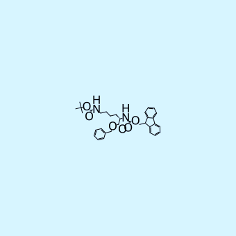 CC(C)(C)OC(=O)NCCCC[C@@H](NC(=O)OCC1c2ccccc2-c2ccccc21)C(=O)OCc1ccccc1